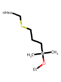 CCCCCCCSCCC[Si](C)(C)OCC